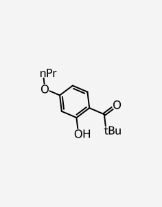 CCCOc1ccc(C(=O)C(C)(C)C)c(O)c1